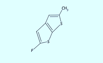 Cc1cc2cc(F)sc2s1